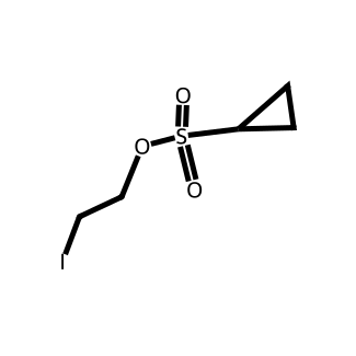 O=S(=O)(OCCI)C1CC1